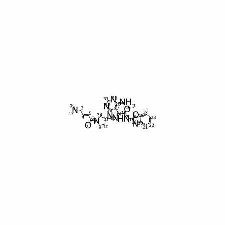 CN(C)CC=CC(=O)N1CCC(n2nc(C(=O)Nc3nc4ccccc4o3)c3c(N)ncnc32)C1